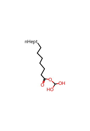 CCCCCCCCCCCCCC(=O)OC(O)O